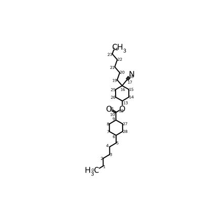 CCCCCCC1CCC(C(=O)OC2CCC(C#N)(CCCCCC)CC2)CC1